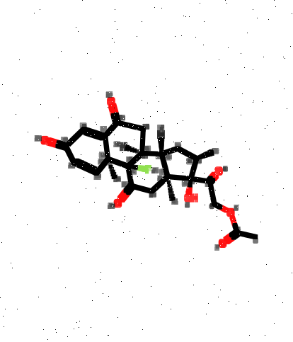 CC(=O)OCC(=O)[C@@]1(O)[C@H](C)C[C@H]2[C@@H]3CC(=O)C4=CC(=O)C=C[C@]4(C)[C@@]3(F)C(=O)C[C@@]21C